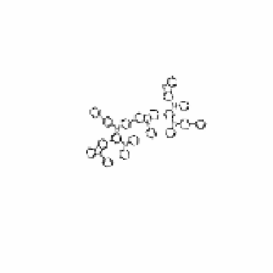 C1=CC2c3ccc(-c4cc(N(c5ccccc5)c5ccc(-c6ccccc6)cc5)cc(N(c5ccccc5)c5ccc6sc7ccccc7c6c5)c4)cc3N(c3ccccc3)C2C=C1c1ccc(N(c2ccc(-c3ccccc3)cc2)c2cc(-c3ccc4c5ccccc5n(-c5ccccc5)c4c3)cc(N(c3ccccc3)c3ccccc3)c2)cc1